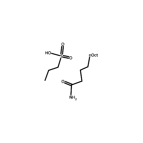 CCCCCCCCCCCC(N)=O.CCCS(=O)(=O)O